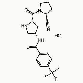 Cl.N#C[C@@H]1CCCN1C(=O)[C@@H]1C[C@H](NC(=O)c2ccc(C(F)(F)F)cc2)CN1